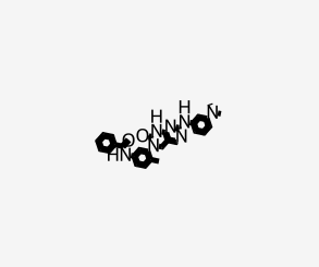 Cc1ccc(NC(=O)c2ccccc2)cc1N1Cc2cnc(Nc3cccc(N(C)C)c3)nc2NC1=O